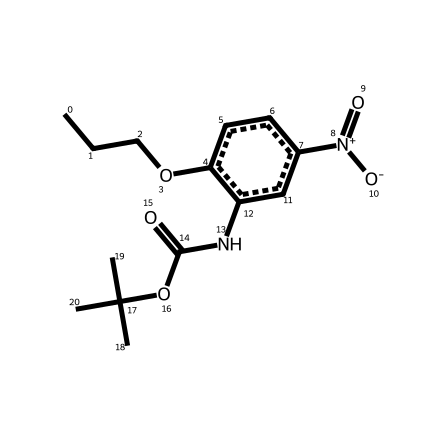 CCCOc1ccc([N+](=O)[O-])cc1NC(=O)OC(C)(C)C